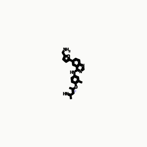 CC(=N)/C=C(\C)Oc1ccc(Nc2ncnc3ccc(-c4ccc(CN)o4)cc23)cc1C